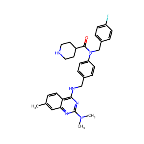 Cc1ccc2c(NCc3ccc(N(Cc4ccc(F)cc4)C(=O)C4CCNCC4)cc3)nc(N(C)C)nc2c1